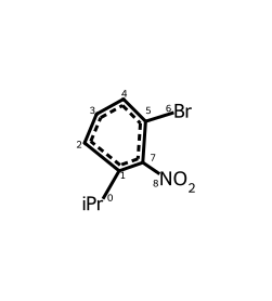 [CH2]C(C)c1cccc(Br)c1[N+](=O)[O-]